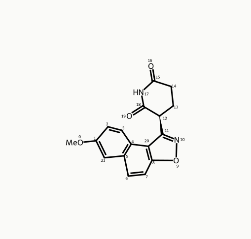 COc1ccc2c(ccc3onc([C@@H]4CCC(=O)NC4=O)c32)c1